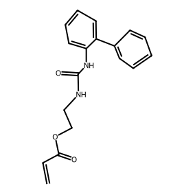 C=CC(=O)OCCNC(=O)Nc1ccccc1-c1ccccc1